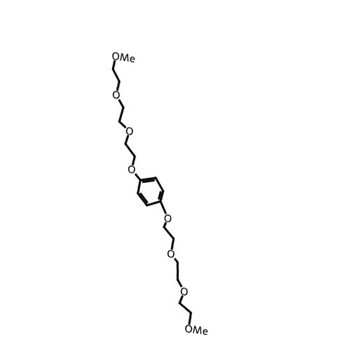 COCCOCCOCCOc1ccc(OCCOCCOCCOC)cc1